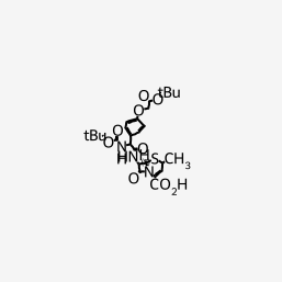 CC1C=C(C(=O)O)N2C(=O)C(NC(=O)C(NC(=O)OC(C)(C)C)c3ccc(OCC(=O)OC(C)(C)C)cc3)[C@@H]2S1